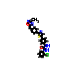 Cc1noc(CC2CCC(c3ncc(-c4ccc(NC(=O)Nc5ccccc5Cl)cc4)s3)CC2)n1